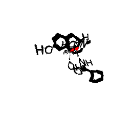 CN1CC[C@]23C[C@@H](O)[C@@H](NC(=O)c4ccccc4)C[C@@]2(O)[C@H]1Cc1ccc(O)cc13